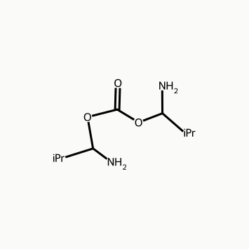 CC(C)C(N)OC(=O)OC(N)C(C)C